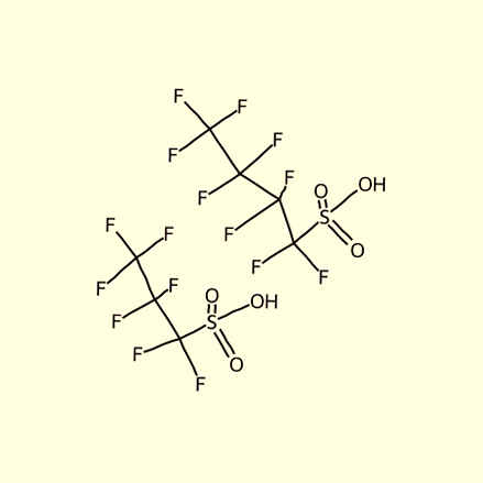 O=S(=O)(O)C(F)(F)C(F)(F)C(F)(F)C(F)(F)F.O=S(=O)(O)C(F)(F)C(F)(F)C(F)(F)F